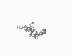 CCO/N=C(\C(=O)N[C@@H]1C(=O)N2C(C(=O)[O-])=C(Cn3cc4cccc[n+]4c3)CS[C@@H]12)c1csc(N)n1